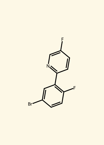 Fc1ccc(-c2cc(Br)ccc2F)nc1